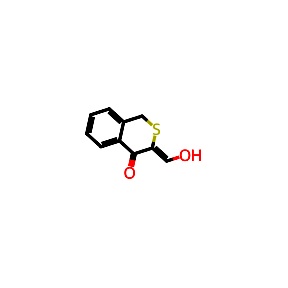 O=C1C(=CO)SCc2ccccc21